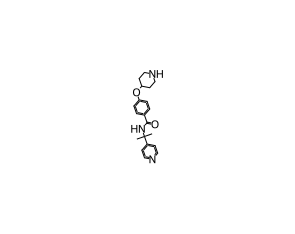 CC(C)(NC(=O)c1ccc(OC2CCNCC2)cc1)c1ccncc1